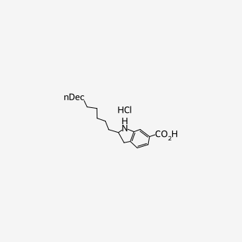 CCCCCCCCCCCCCCCC1Cc2ccc(C(=O)O)cc2N1.Cl